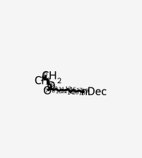 C=C(Cl)C=COC(=O)CCCCCCCCCCCCCCCCCCCCC